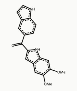 COc1cc2cc(C(=O)c3ccc4[nH]ccc4c3)[nH]c2cc1OC